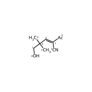 CC(=O)/C(C#N)=C/C(C)(C)CO